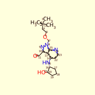 C[Si](C)(C)CCOCn1nc(C=O)c2c(N[C@@H]3CCC[C@H]3O)ccnc21